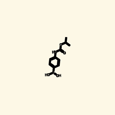 CC(C)OC(=O)Nc1ccc(B(O)O)cc1